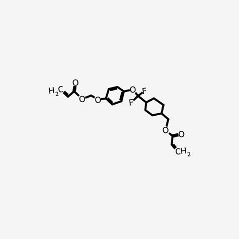 C=CC(=O)OCOc1ccc(OC(F)(F)C2CCC(COC(=O)C=C)CC2)cc1